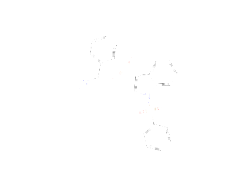 NCc1ccccc1S(=O)(=O)c1cn(S(=O)(=O)c2ccccc2)c2ccccc12